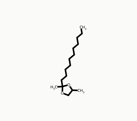 CCCCCCCCCCCC1(C)OCC(C)O1